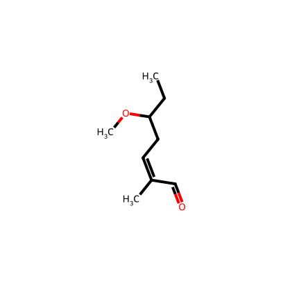 CCC(CC=C(C)C=O)OC